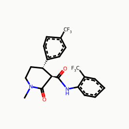 CN1CC[C@H](c2ccc(C(F)(F)F)cc2)[C@@H](C(=O)Nc2ccccc2C(F)(F)F)C1=O